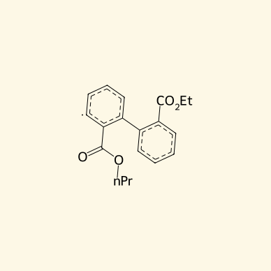 CCCOC(=O)c1[c]cccc1-c1ccccc1C(=O)OCC